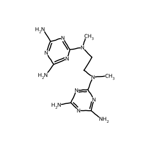 CN(CCN(C)c1nc(N)nc(N)n1)c1nc(N)nc(N)n1